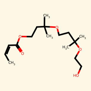 C/C=C\C(=O)OCCC(C)(C)OCCC(C)(C)OCCO